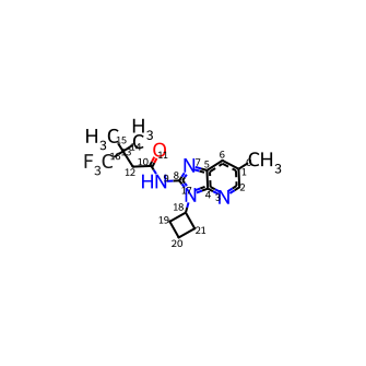 Cc1cnc2c(c1)nc(NC(=O)CC(C)(C)C(F)(F)F)n2C1CCC1